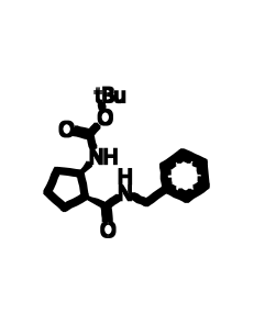 CC(C)(C)OC(=O)N[C@@H]1CCC[C@@H]1C(=O)NCc1ccccc1